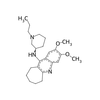 CCCN1CCC[C@@H](Nc2c3c(nc4cc(OC)c(OC)cc24)CCCCC3)C1